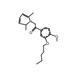 CCCCCOc1cc(C(=O)CN2C(C)=CC=CC2C)ccc1OC